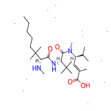 CCCCCC(C)(C)[C@@H](NC)C(=O)N[C@H](C(=O)N(C)[C@H](C=C(C)C(=O)O)C(C)C)C(C)(C)C